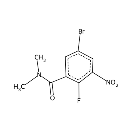 CN(C)C(=O)c1cc(Br)cc([N+](=O)[O-])c1F